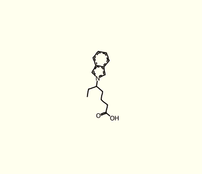 CCC(CCCC(=O)O)n1cc2ccccc2c1